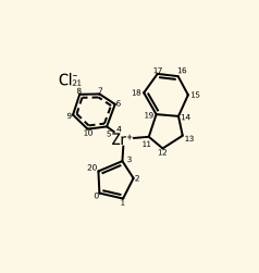 C1=CC[C]([Zr+]([c]2ccccc2)[CH]2CCC3CC=CC=C32)=C1.[Cl-]